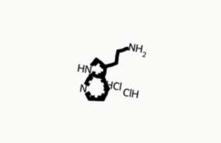 Cl.Cl.NCCc1c[nH]c2ncccc12